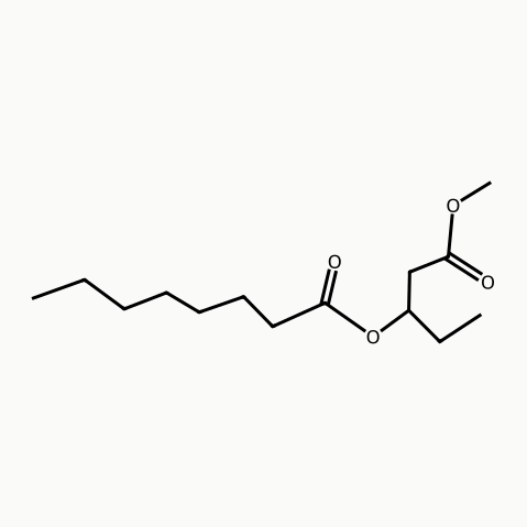 CCCCCCCC(=O)OC(CC)CC(=O)OC